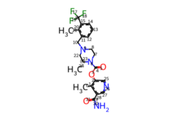 Cc1c(OC(=O)N2CCN(Cc3cccc(C(F)(F)F)c3C)C[C@H]2C)cncc1C(N)=O